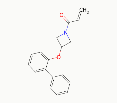 C=CC(=O)N1CC(Oc2ccccc2-c2ccccc2)C1